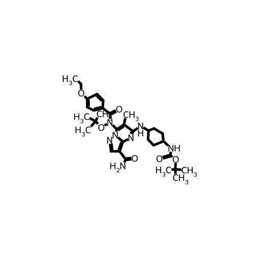 CCOc1ccc(C(=O)N(OC(C)(C)C)c2c(C)c(NC3CCC(NC(=O)OC(C)(C)C)CC3)nc3c(C(N)=O)cnn23)cc1